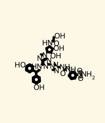 NS(=O)(=O)c1cccc(NC(=O)Nc2ncn(-c3nc(NCC(c4ccc(O)cc4)c4ccc(O)cc4)c4ncn([C@@H]5C[C@H](NC(=O)CO)[C@@H](O)[C@H]5O)c4n3)n2)c1